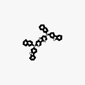 c1ccc2cc(N(c3ccc4c(c3)oc3ccccc34)c3cnc4c(c3)sc3cc(N(c5ccc6ccccc6c5)c5ccc6c(c5)oc5ccccc56)ncc34)ccc2c1